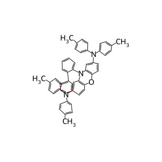 Cc1ccc(N(c2ccc(C)cc2)c2ccc3c(c2)N(c2ccccc2-c2ccccc2)c2cc(N(c4ccc(C)cc4)c4ccc(C)cc4)ccc2O3)cc1